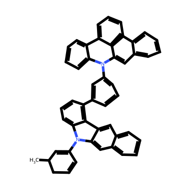 CC1C=C(n2c3cc4ccccc4cc3c3c(-c4cccc(N(c5ccc6ccccc6c5)c5ccccc5-c5ccccc5)c4)cccc32)C=CC1